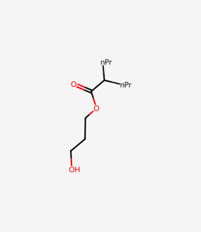 CCCC(CCC)C(=O)OCCCO